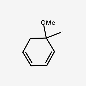 [CH]C1(OC)C=CC=CC1